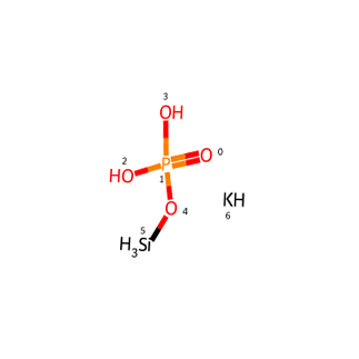 O=P(O)(O)O[SiH3].[KH]